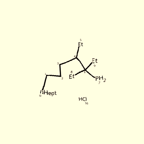 CCCCCCCCCCC(CC)C(P)(CC)CC.Cl